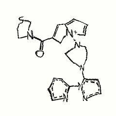 O=C(C1=CC2=CC=C[N@@+]2(N2CCN(c3ccnn3-c3ccccn3)CC2)C1)N1CCSC1